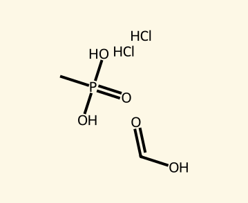 CP(=O)(O)O.Cl.Cl.O=CO